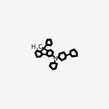 CC1(c2ccccc2)c2ccccc2-c2cc(N(c3ccccc3)c3ccc(-c4ccccc4)cc3)ccc21